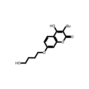 CCC(C)c1c(O)c2ccc(OCCCCO)cc2oc1=O